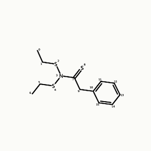 CCSN(SCC)C(=S)Cc1ccccc1